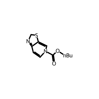 CCCCOC(=O)N1C=CC2=NCSC2=C1